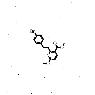 COC(=O)c1ccc(OC)nc1CCc1ccc(Br)cc1